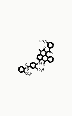 Cn1c(=O)c(C(=O)c2cccc(S(=O)(=O)O)c2)c2c3c(c(Nc4ccc(S(=O)(=O)c5ccccc5C(=O)O)cc4S(=O)(=O)O)ccc31)C(=O)c1ccccc1-2